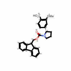 COc1cc([C@@H]2CCCN2C(=O)OCC2c3ccccc3-c3ccccc32)ccc1C(=O)O